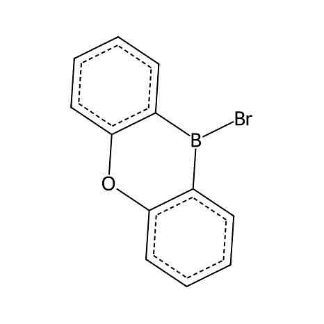 BrB1c2ccccc2Oc2ccccc21